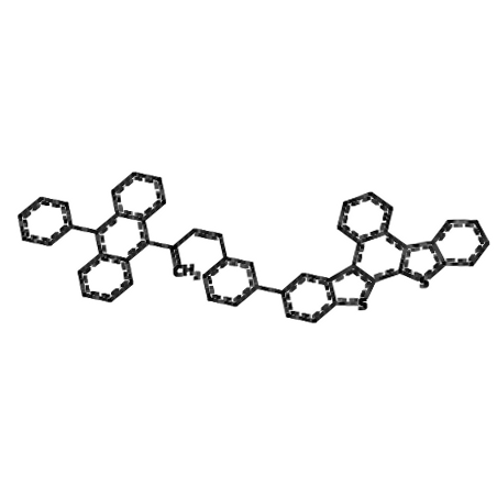 C=C(/C=C\c1cccc(-c2ccc3sc4c5sc6ccccc6c5c5ccccc5c4c3c2)c1)c1c2ccccc2c(-c2ccccc2)c2ccccc12